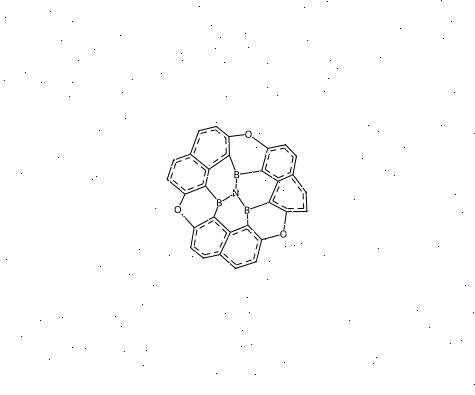 c1cc2ccc3c4c2c2c1Oc1ccc5ccc6c7c5c1B2N1B4c2c(ccc4ccc(c(c24)B71)O6)O3